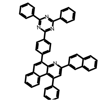 c1ccc(-c2nc(-c3ccccc3)nc(-c3ccc(-c4cc5ccccc5c5c(-c6ccccc6)cc(-c6ccc7ccccc7c6)nc45)cc3)n2)cc1